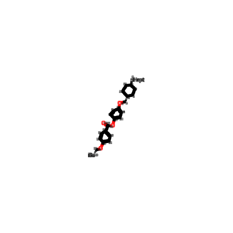 CCCCCCC[C@H]1CC[C@H](COc2ccc(OC(=O)c3ccc(OC[C@@H](C)CC)cc3)cc2)CC1